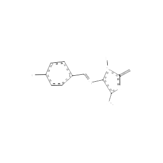 CCn1c(N=Cc2ccc(Br)cc2)c(C#N)sc1=S